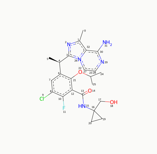 Cc1nc([C@H](C)c2cc(Cl)c(F)c(C(=O)NC3(CO)CC3)c2OC(C)C)n2ccnc(N)c12